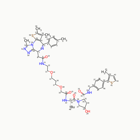 Cc1ccc(C2=NC(CC(=O)NCCOCCCOCC(=O)N[C@H](C(=O)N3CC(O)C[C@H]3C(=O)NCc3ccc(-c4sccc4C)cc3)C(C)(C)C)c3nnc(C)n3-c3sc(C)c(C)c32)cc1